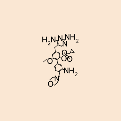 CCOc1cc(Cc2cnc(N)nc2N)cc(OS(=O)(=O)C2CC2)c1-c1ccc(CN2CCOCC2)c(N)c1